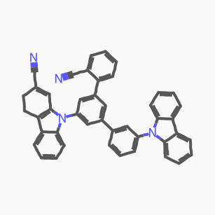 N#CC1=Cc2c(c3ccccc3n2-c2cc(-c3cccc(-n4c5ccccc5c5ccccc54)c3)cc(-c3ccccc3C#N)c2)CC1